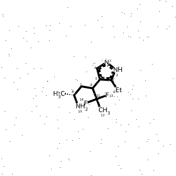 CCc1[nH]ncc1C(C[C@@H](C)N)C(C)(F)F